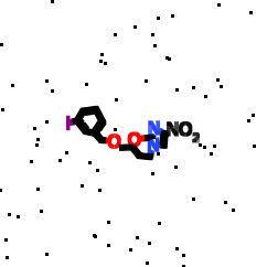 O=[N+]([O-])c1cn2c(n1)OC(COCc1cccc(I)c1)CC2